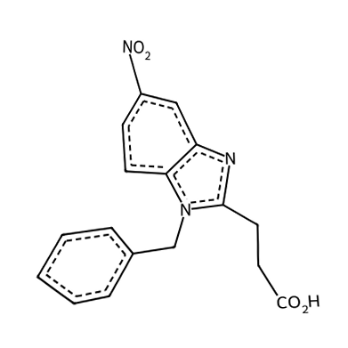 O=C(O)CCc1nc2cc([N+](=O)[O-])ccc2n1Cc1ccccc1